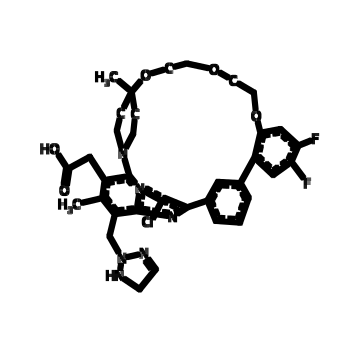 Cc1c(CC(=O)O)c2n3c(Cl)c(nc3c1CN1N=CCN1)-c1cccc(c1)-c1cc(F)c(F)cc1OCCOCCOC1(C)CCN2CC1